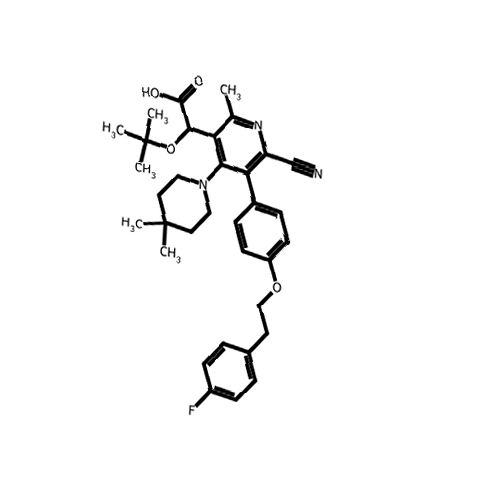 Cc1nc(C#N)c(-c2ccc(OCCc3ccc(F)cc3)cc2)c(N2CCC(C)(C)CC2)c1C(OC(C)(C)C)C(=O)O